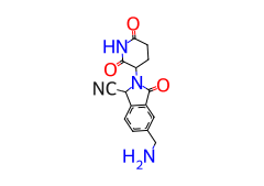 N#CC1c2ccc(CN)cc2C(=O)N1C1CCC(=O)NC1=O